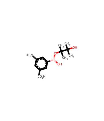 CC(C)(O)C(C)(C)OB(O)c1cc(C(=O)O)cc([N+](=O)[O-])c1